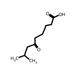 CC(C)CC(=O)CCCCC(=O)O